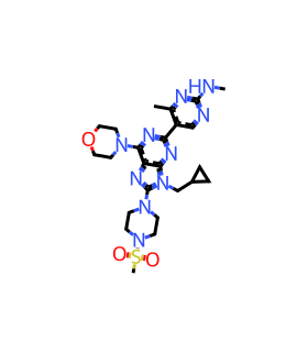 CNc1ncc(-c2nc(N3CCOCC3)c3nc(N4CCN(S(C)(=O)=O)CC4)n(CC4CC4)c3n2)c(C)n1